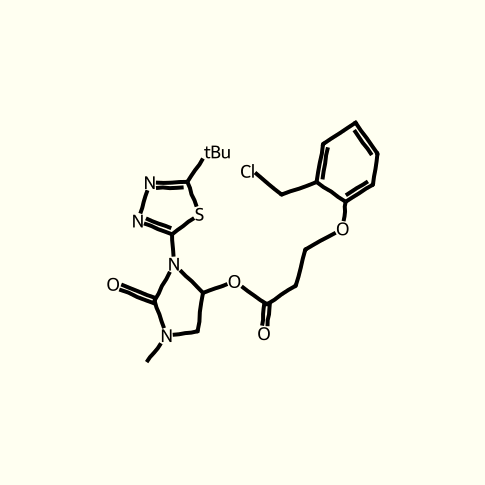 CN1CC(OC(=O)CCOc2ccccc2CCl)N(c2nnc(C(C)(C)C)s2)C1=O